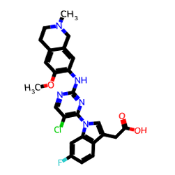 COc1cc2c(cc1Nc1ncc(Cl)c(-n3cc(CC(=O)O)c4ccc(F)cc43)n1)CN(C)CC2